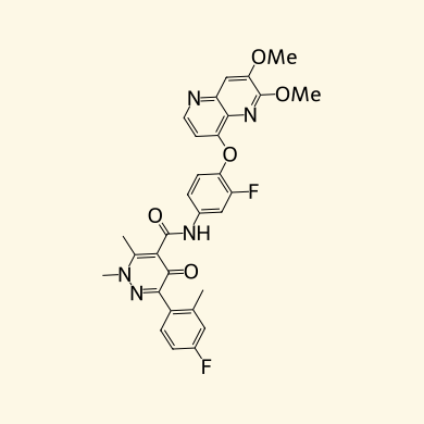 COc1cc2nccc(Oc3ccc(NC(=O)c4c(C)n(C)nc(-c5ccc(F)cc5C)c4=O)cc3F)c2nc1OC